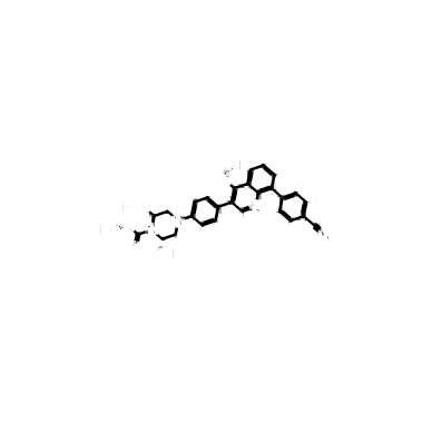 COC(=O)N1C(C)CN(c2ccc(-c3cnc4c(-c5ccc(C#N)cc5)cccc4c3OC)cc2)C[C@@H]1C